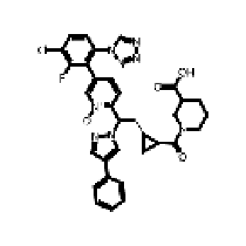 O=C(O)C1CCCN(C(=O)[C@H]2C[C@@H]2CC(c2ccc(-c3c(-n4cnnn4)ccc(Cl)c3F)c[n+]2[O-])n2cc(-c3ccccc3)cn2)C1